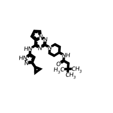 CC(C)(C)CC(=O)NC1CCN(c2nc(Nc3cc(C4CC4)n[nH]3)c3cccn3n2)CC1